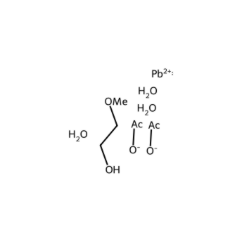 CC(=O)[O-].CC(=O)[O-].COCCO.O.O.O.[Pb+2]